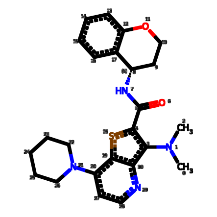 CN(C)c1c(C(=O)N[C@H]2CCOc3ccccc32)sc2c(N3CCCCC3)ccnc12